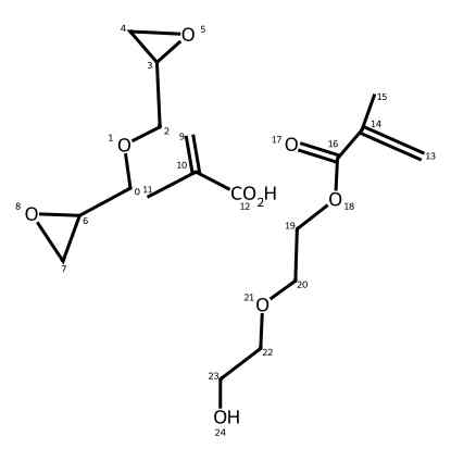 C(OCC1CO1)C1CO1.C=C(C)C(=O)O.C=C(C)C(=O)OCCOCCO